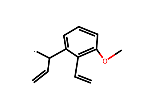 [CH2]C(C=C)c1cccc(OC)c1C=C